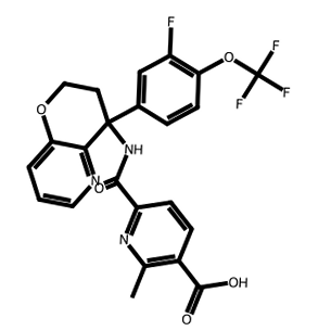 Cc1nc(C(=O)NC2(c3ccc(OC(F)(F)F)c(F)c3)CCOc3cccnc32)ccc1C(=O)O